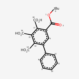 CC(C)(C)OC(=O)c1cc(-c2ccccc2)c(C(=O)O)c(C(=O)O)c1C(=O)O